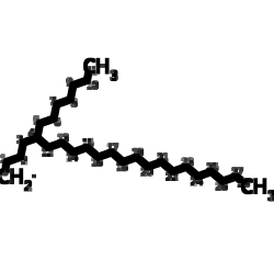 [CH2]CCCC(CCCCCCC)CCCCCCCCCCCCCCCCC